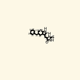 O=C1NC(=S)NC1=Cc1c[nH]c2ncc(Cc3ccccc3)cc12